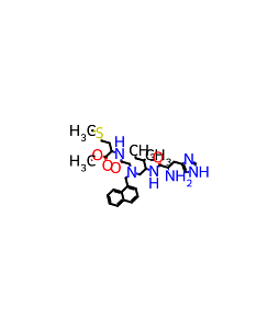 CCC(C)C(CN(CC(=O)NC(CCSC)C(=O)OC)Cc1cccc2ccccc12)NC(=O)[C@@H](N)Cc1c[nH]cn1